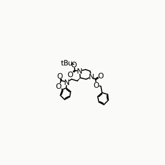 CC(C)(C)OC(=O)N1CCN(C(=O)OCc2ccccc2)C[C@H]1CCn1c(=O)oc2ccccc21